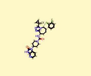 O=C(N[C@@H]1CC[C@@H](c2cccc(F)c2F)Cn2c1nnc2C1(C(F)(F)F)CC1)N1CCC(n2c(=O)[nH]c3ncccc32)CC1